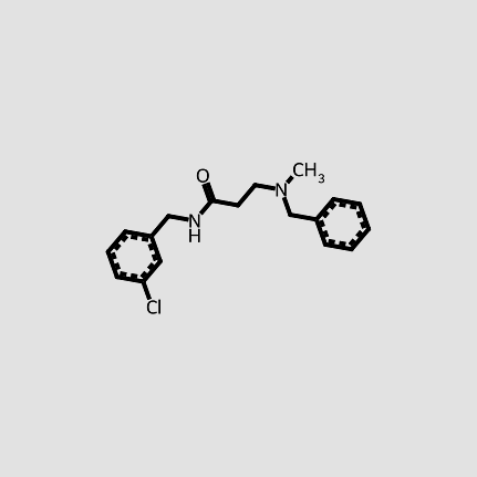 CN(CCC(=O)NCc1cccc(Cl)c1)Cc1ccccc1